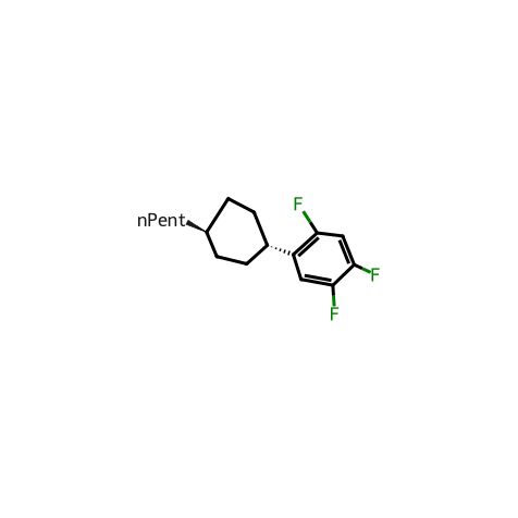 CCCCC[C@H]1CC[C@H](c2cc(F)c(F)cc2F)CC1